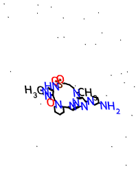 CN1CCCS(=O)(=O)Nc2cn(C)nc2C(=O)N2CCCCC2c2cc3nc(N4CC[C@H](N)C4)cc1n3n2